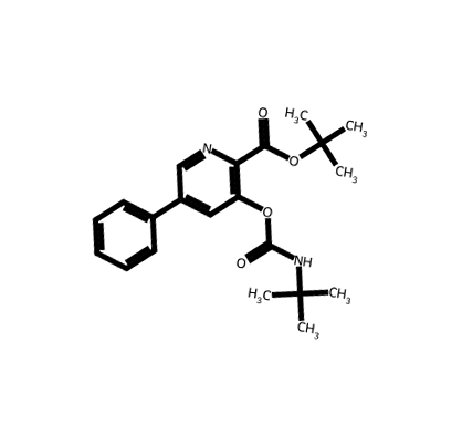 CC(C)(C)NC(=O)Oc1cc(-c2ccccc2)cnc1C(=O)OC(C)(C)C